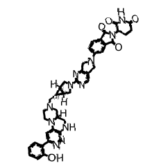 O=C1CCC(N2C(=O)c3ccc(N4Cc5cnc(N6C[C@@H]7[C@@H](CN8CCN9c%10cc(-c%11ccccc%11O)nnc%10NC[C@H]9C8)[C@@H]7C6)nc5C4)cc3C2=O)C(=O)N1